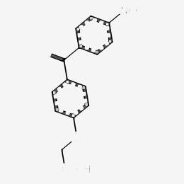 O=C(O)COc1ccc(C(=O)c2ccc([N+](=O)[O-])cc2)cc1